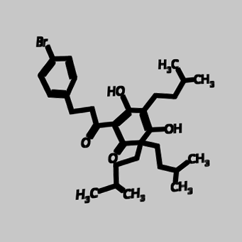 CC(C)CCC1=C(O)C(CCC(C)C)(CCC(C)C)C(=O)C(C(=O)CCc2ccc(Br)cc2)=C1O